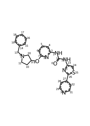 O=C(Nc1cccc(OC2CCN(Cc3ccccc3)C2)n1)Nc1csc(-c2ccncc2)n1